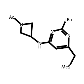 CSCc1cc(NC2CN(C(C)=O)C2)nc(C(C)(C)C)n1